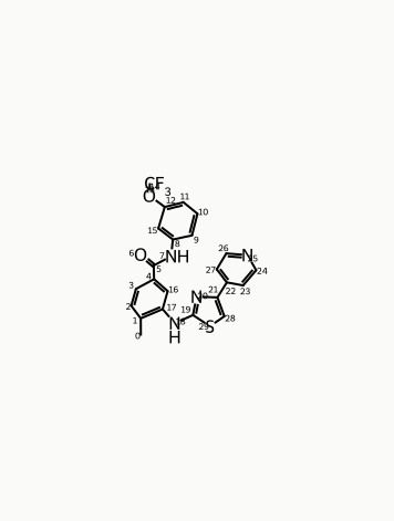 Cc1ccc(C(=O)Nc2cccc(OC(F)(F)F)c2)cc1Nc1nc(-c2ccncc2)cs1